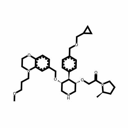 COCCCN1CCOc2ccc(CO[C@H]3CNC[C@@H](OCC(=O)N4CCC[C@H]4C)[C@@H]3c3ccc(COCC4CC4)cc3)cc21